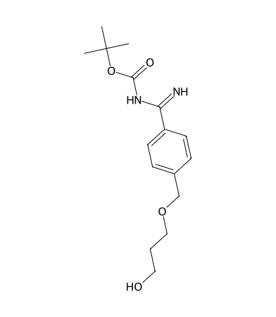 CC(C)(C)OC(=O)NC(=N)c1ccc(COCCCO)cc1